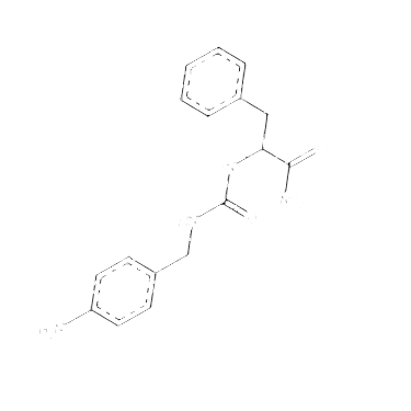 NC(=O)C(Cc1ccccc1)NC(=O)NCc1ccc(N)cc1